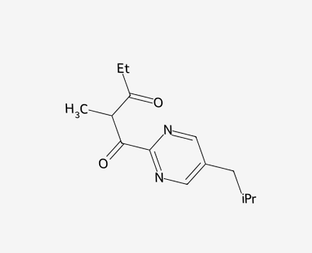 CCC(=O)C(C)C(=O)c1ncc(CC(C)C)cn1